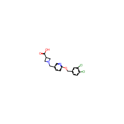 O=C(O)C1CN(Cc2ccc(OCc3ccc(Cl)c(Cl)c3)nc2)C1